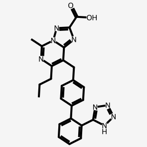 CCCc1nc(C)n2nc(C(=O)O)nc2c1Cc1ccc(-c2ccccc2-c2nnn[nH]2)cc1